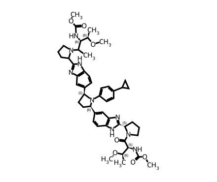 COC(=O)N[C@H](C(=O)N1CCC[C@H]1c1nc2cc([C@H]3CC[C@@H](c4ccc5[nH]c(C6CCCN6C(C)[C@@H](NC(=O)OC)[C@@H](C)OC)nc5c4)N3c3ccc(C4CC4)cc3)ccc2[nH]1)[C@@H](C)OC